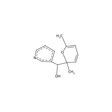 CC1=CC=CC(C)(C(O)c2cccnc2)O1